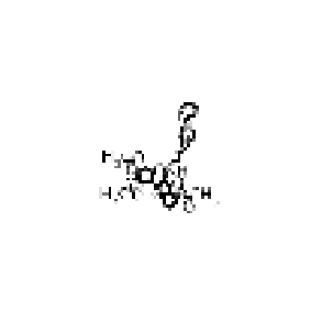 CC(=O)Oc1ccc(-c2oc3cccc(OC(C)=O)c3c(=O)c2C(=O)NCCCCN2CCN(c3ccccn3)CC2)cc1OC(C)=O